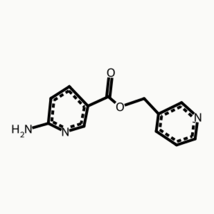 Nc1ccc(C(=O)OCc2cccnc2)cn1